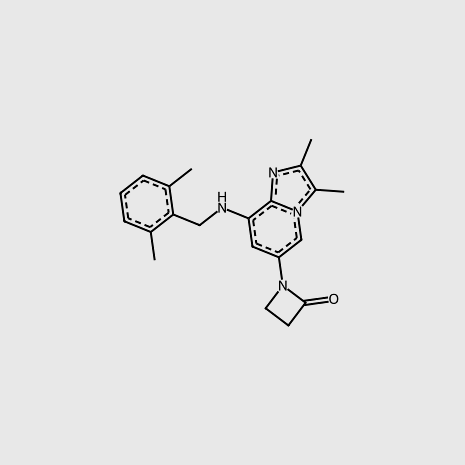 Cc1cccc(C)c1CNc1cc(N2CCC2=O)cn2c(C)c(C)nc12